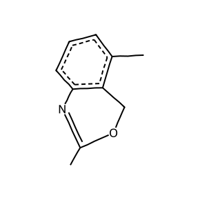 CC1=Nc2cccc(C)c2CO1